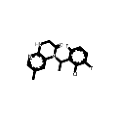 Cc1cnc2c(c1)N(C(C)c1c(F)ccc(F)c1Cl)C(=O)CN2